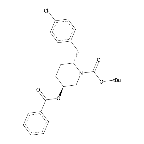 CC(C)(C)OC(=O)N1C[C@@H](OC(=O)c2ccccc2)CC[C@@H]1Cc1ccc(Cl)cc1